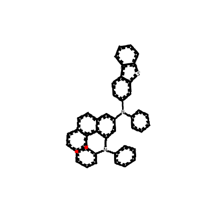 c1ccc(N(c2cc(N(c3ccccc3)c3ccccc3)c3c(ccc4ccccc43)c2)c2ccc3c(c2)sc2ccccc23)cc1